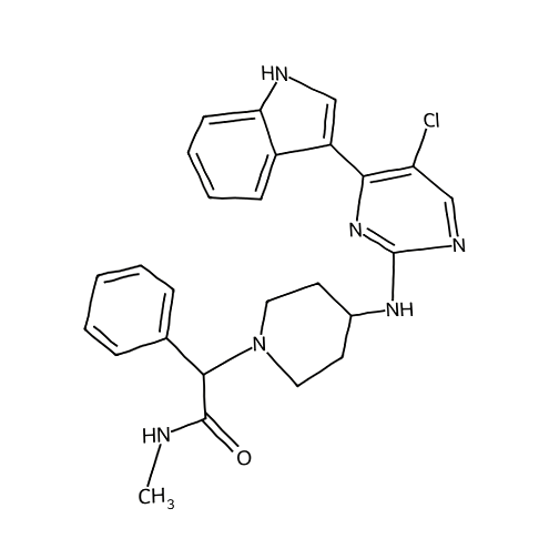 CNC(=O)C(c1ccccc1)N1CCC(Nc2ncc(Cl)c(-c3c[nH]c4ccccc34)n2)CC1